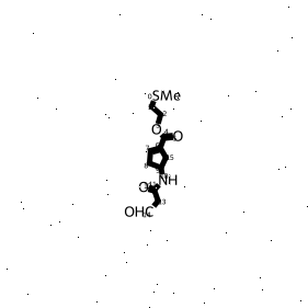 CSCCOC(=O)C1=CCC(NC(=O)CC=O)C1